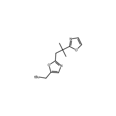 CC(C)(C)Cc1cnc(CC(C)(C)c2ncco2)o1